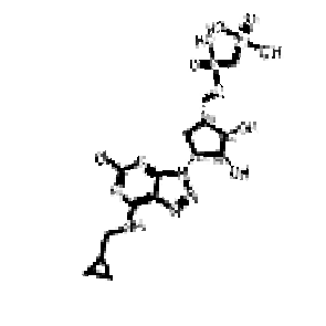 O=P(O)(O)CP(=O)(O)OC[C@H]1C[C@@H](n2nnc3c(NCC4CC4)nc(Cl)nc32)[C@H](O)[C@@H]1O